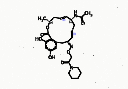 CC(=O)N[C@H]1/C=C/C[C@@H](C)OC(=O)c2c(O)cc(O)cc2CC(=NOCC(=O)N2CCCCC2)/C=C/C1